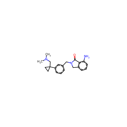 CN(C)CC1(c2cccc(CN3Cc4cccc(N)c4C3=O)c2)CC1